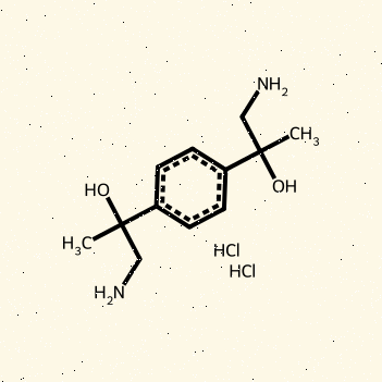 CC(O)(CN)c1ccc(C(C)(O)CN)cc1.Cl.Cl